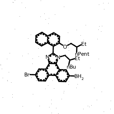 Bc1ccc2c3ccc(Br)cc3c3nc(-c4c(OCC(CC)CCCCC)ccc5ccccc45)n(CC(CC)CCCC)c3c2c1